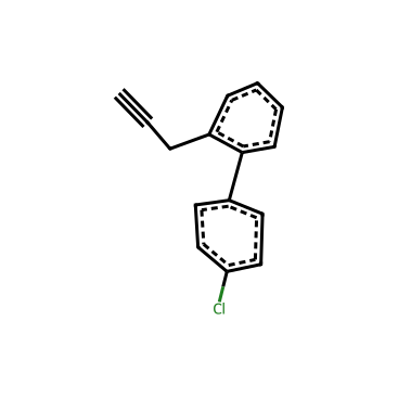 C#CCc1ccccc1-c1ccc(Cl)cc1